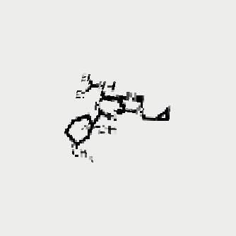 CCC(CC)Nc1nc([C@]2(O)CCC[C@@H](C)C2)nc2c1ncn2CC1CC1